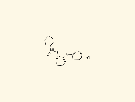 [O-]/[N+](=C\c1ccccc1Sc1ccc(Cl)cc1)C1CCCCC1